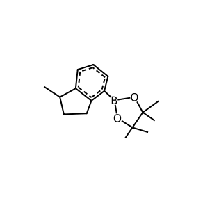 CC1CCc2c(B3OC(C)(C)C(C)(C)O3)cccc21